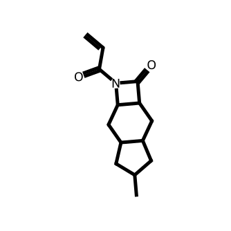 C=CC(=O)N1C(=O)C2CC3CC(C)CC3CC21